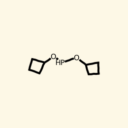 C1CC(OPOC2CCC2)C1